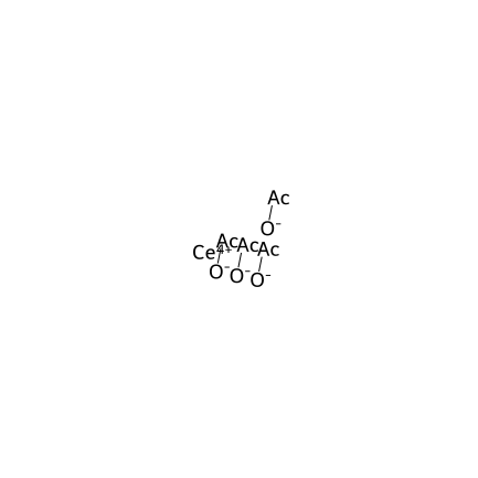 CC(=O)[O-].CC(=O)[O-].CC(=O)[O-].CC(=O)[O-].[Ce+4]